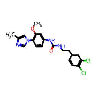 COc1cc(NC(=O)NCCc2ccc(Cl)c(Cl)c2)ccc1-n1cnc(C)c1